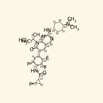 CC(C)n1c(=O)c(-c2cc(F)c(NC(=O)[C@H]3C[C@H]3F)c(F)c2F)cc2cnc(N[C@H]3CC[C@H](N(C)C)CC3)nc21.Cl